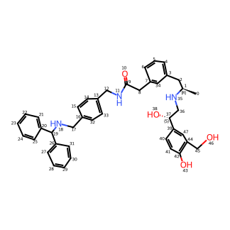 C[C@H](Cc1cccc(CC(=O)NCc2ccc(CNC(c3ccccc3)c3ccccc3)cc2)c1)NC[C@@H](O)c1ccc(O)c(CO)c1